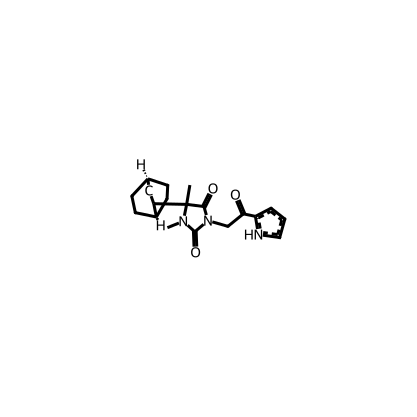 CN1C(=O)N(CC(=O)c2ccc[nH]2)C(=O)C1(C)C1C[C@H]2CC[C@@H]1CC2